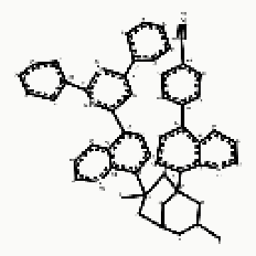 CC1CC2CC(C)(c3ccc(-c4cc(-c5ccccc5)nc(-c5ccccc5)n4)c4cccnc34)CC(c3ccc(-c4ccc(C#N)cc4)c4cccnc34)(C1)C2